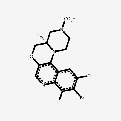 O=C(O)N1CCN2c3c(cnc4c(F)c(Br)c(Cl)cc34)OC[C@H]2C1